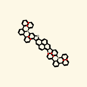 c1ccc(-c2cccc(-c3ccccc3)c2N(c2ccccc2)c2ccc3c(c2)oc2c3cc3ccc4c5oc6cc(N(c7ccccc7)c7c(-c8ccccc8)cccc7-c7ccccc7)ccc6c5cc5ccc2c3c54)cc1